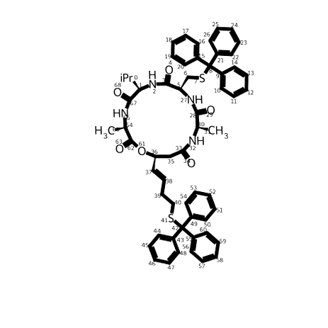 CC(C)[C@H]1NC(=O)[C@@H](CSC(c2ccccc2)(c2ccccc2)c2ccccc2)NC(=O)[C@@H](C)NC(=O)C[C@@H](/C=C/CCSC(c2ccccc2)(c2ccccc2)c2ccccc2)OC(=O)[C@@H](C)NC1=O